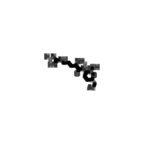 CC(=O)C[C@@H]1CC[C@H](NC(=O)[C@H](N)CCCNC(=N)N)B(O)O1